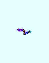 O=C1CCC(N2Cc3cc(O[C@H]4CCCC[C@H]4N4CC(c5ccc(F)cc5F)C4)ccc3C2=O)C(=O)N1